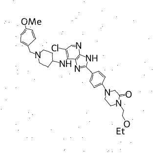 CCOCCN1CCN(c2ccc(-c3nc4c(NC5CCN(Cc6ccc(OC)cc6)CC5)c(Cl)cnc4[nH]3)cc2)CC1=O